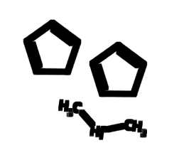 C1=CCC=C1.C1=CCC=C1.[CH3][Hf][CH3]